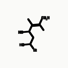 CCC(O)CC(O)C(C)=C(C)C(=O)O